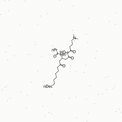 CCCCCCCCCCCCCCCCC(=O)CC(CC(=O)P(O)C(=O)CCCN(C)C)NC(=O)CCC